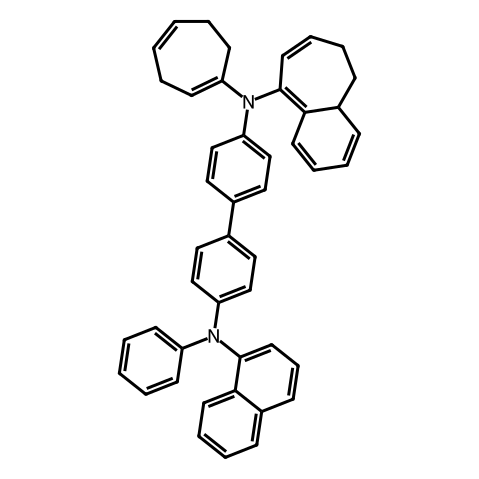 C1=CC2=C(N(C3=CCC=CCC3)c3ccc(-c4ccc(N(c5ccccc5)c5cccc6ccccc56)cc4)cc3)C=CCCC2C=C1